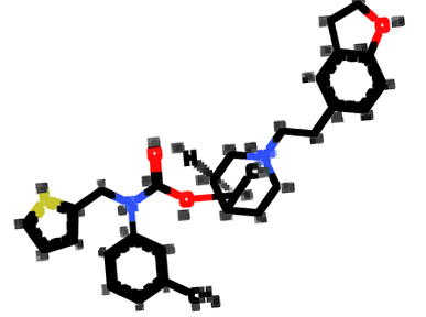 Cc1cccc(N(Cc2cccs2)C(=O)O[C@H]2C[N+]3(CCc4ccc5c(c4)CCO5)CCC2CC3)c1